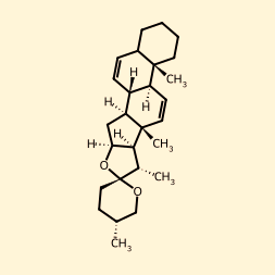 C[C@@H]1CC[C@@]2(OC1)O[C@H]1C[C@H]3[C@@H]4C=CC5CCCC[C@]5(C)[C@H]4C=C[C@]3(C)[C@H]1[C@@H]2C